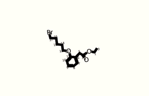 CCOC(=O)Cc1ccccc1OCCCCCBr